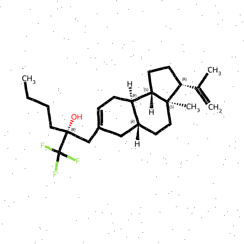 C=C(C)[C@H]1CC[C@H]2[C@@H]3CC=C(C[C@](O)(CCCC)C(F)(F)F)C[C@H]3CC[C@]12C